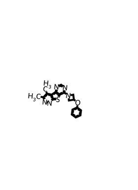 Cc1nnc2sc3c(N4CC(Oc5ccccc5)C4)ncnc3c2c1C